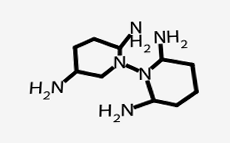 NC1CCC(N)N(N2C(N)CCCC2N)C1